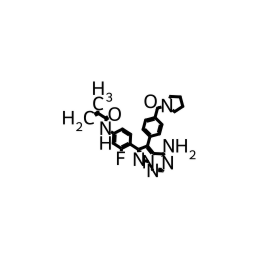 C=C(C)C(=O)Nc1ccc(-c2nn3ncnc(N)c3c2-c2ccc(C(=O)N3CCCC3)cc2)c(F)c1